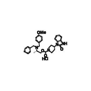 COc1ccc(CN(Cc2ccccc2)[C@@H](C)COC(=O)N2CCC(n3c(=O)[nH]c4ccccc43)CC2)cc1.Cl